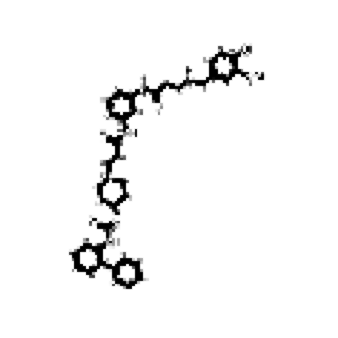 COc1cc(CNCCC(=O)Nc2cccc(NC(=O)CCN3CCC(OC(=O)Nc4ccccc4-c4ccccc4)CC3)c2)ccc1O